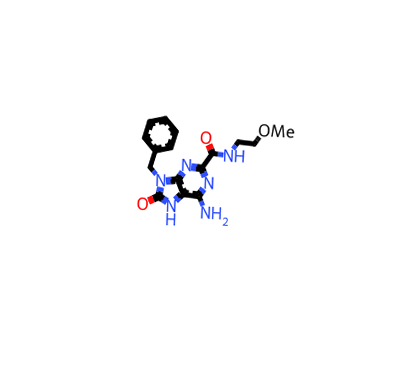 COCCNC(=O)c1nc(N)c2[nH]c(=O)n(Cc3ccccc3)c2n1